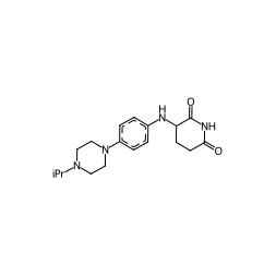 CC(C)N1CCN(c2ccc(NC3CCC(=O)NC3=O)cc2)CC1